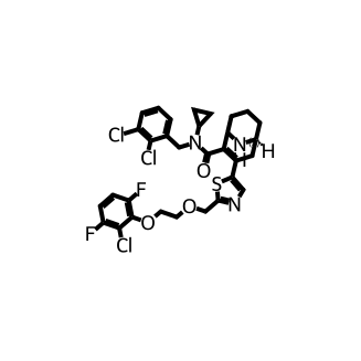 O=C(C1=C(c2cnc(COCCOc3c(F)ccc(F)c3Cl)s2)C[C@@H]2CCCC1N2)N(Cc1cccc(Cl)c1Cl)C1CC1